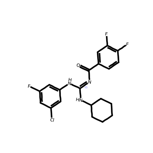 O=C(/N=C(\Nc1cc(F)cc(Cl)c1)NC1CCCCC1)c1ccc(F)c(F)c1